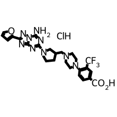 Cl.Nc1nc(N2CCCC(CN3CCN(c4ccc(C(=O)O)cc4C(F)(F)F)CC3)C2)nc2nc(-c3ccco3)nn12